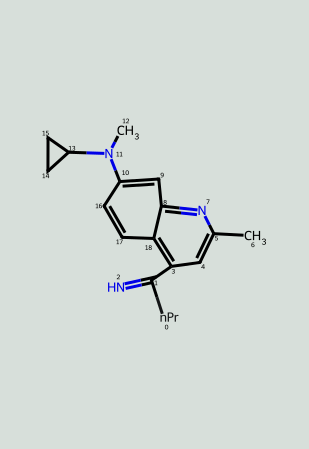 CCCC(=N)c1cc(C)nc2cc(N(C)C3CC3)ccc12